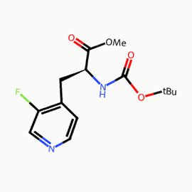 COC(=O)[C@H](Cc1ccncc1F)NC(=O)OC(C)(C)C